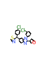 Clc1ccc(C(c2ccc3nc(-c4ccoc4)n(-c4cccc(Cl)c4)c3c2)c2nccs2)cc1